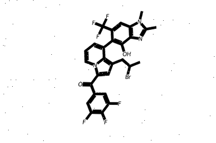 Cc1nc2c(O)c(-c3cccn4c(C(=O)c5cc(F)c(F)c(F)c5)cc(CC(C)Br)c34)c(C(F)(F)F)cc2n1C